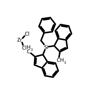 CC1=Cc2ccccc2C1[Si](Cc1ccccc1)C1C(C)=Cc2ccccc21.[Cl][Zr][Cl]